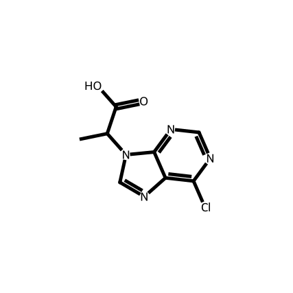 CC(C(=O)O)n1cnc2c(Cl)ncnc21